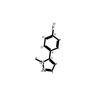 Cn1nccc1-c1ccc(F)cc1